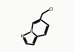 ClCc1ccc2ccnn2c1